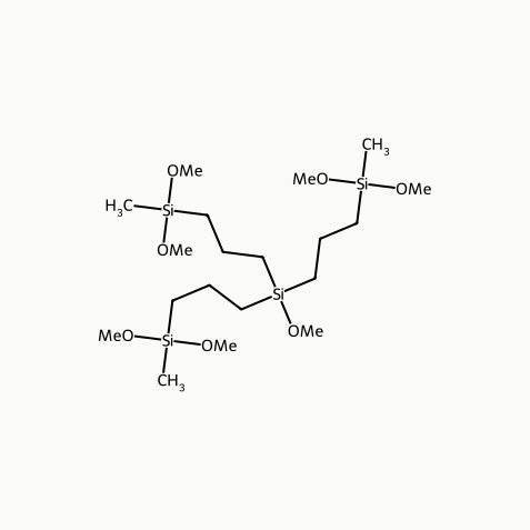 CO[Si](CCC[Si](C)(OC)OC)(CCC[Si](C)(OC)OC)CCC[Si](C)(OC)OC